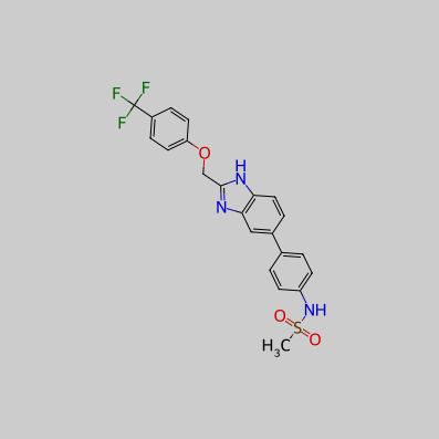 CS(=O)(=O)Nc1ccc(-c2ccc3[nH]c(COc4ccc(C(F)(F)F)cc4)nc3c2)cc1